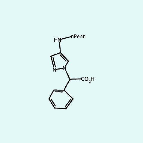 CCCCCNc1cnn(C(C(=O)O)c2ccccc2)c1